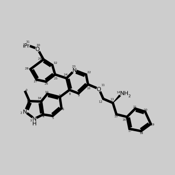 Cc1n[nH]c2ccc(-c3cc(OC[C@@H](N)Cc4ccccc4)cnc3-c3cccc(OC(C)C)c3)cc12